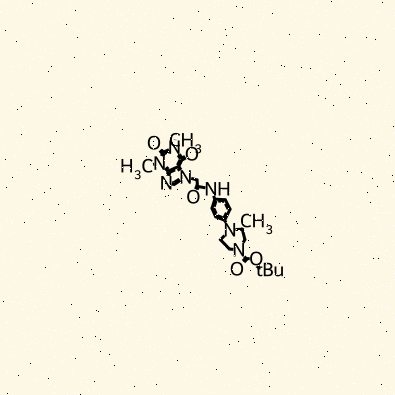 CC1CN(C(=O)OC(C)(C)C)CCN1c1ccc(NC(=O)Cn2cnc3c2c(=O)n(C)c(=O)n3C)cc1